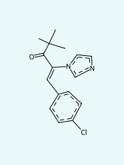 CC(C)(C)C(=O)C(=Cc1ccc(Cl)cc1)n1ccnc1